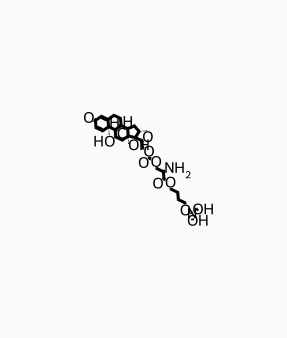 C[C@H]1C[C@H]2[C@@H]3CCC4=CC(=O)C=C[C@]4(C)[C@@]3(Cl)[C@@H](O)C[C@]2(C)[C@@]1(O)C(=O)COC(=O)OCC(N)C(=O)OCCCCON(O)O